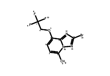 Cc1ccc(OCC(F)(F)F)c2nc(Br)nn12